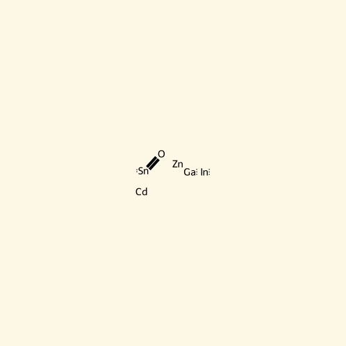 [Cd].[Ga].[In].[O]=[Sn].[Zn]